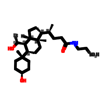 CC[C@H](O)[C@H]1[C@@H]2CC[C@H]([C@H](C)CCC(=O)NCCS(=O)(=O)O)[C@@]2(C)CC[C@@H]1[C@]1(C)CC[C@H](O)CC1